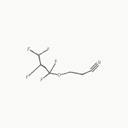 N#CCCOC(F)(F)C(F)C(F)F